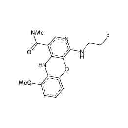 CNC(=O)c1cnc(NCCF)c2c1Nc1c(OC)cccc1O2